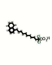 O=C(O)C(Cl)(Cl)CCCCCCCCCCc1cccc2c1CCCC2